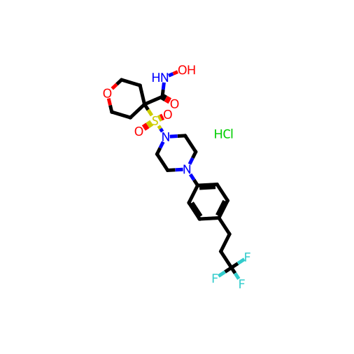 Cl.O=C(NO)C1(S(=O)(=O)N2CCN(c3ccc(CCC(F)(F)F)cc3)CC2)CCOCC1